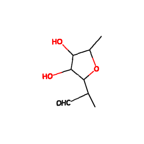 CC(C=O)C1OC(C)C(O)C1O